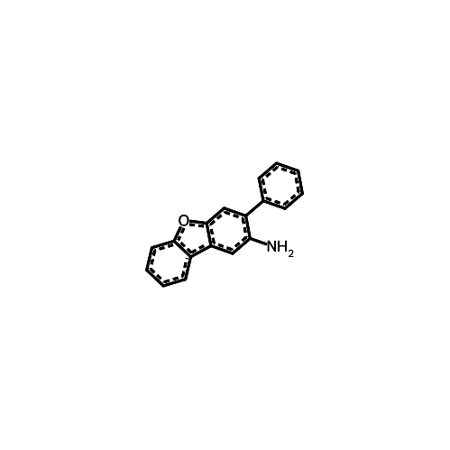 Nc1cc2c(cc1-c1ccccc1)oc1ccccc12